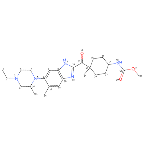 CCN1CCN(c2cc3[nH]c(C(=O)C4(C)CCC(NC(=O)OC)CC4)nc3cc2C)C(C)C1